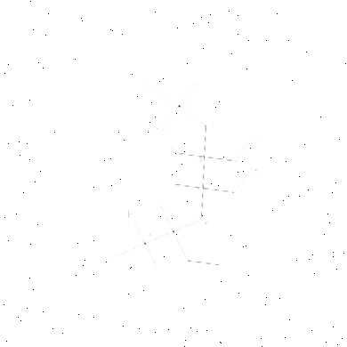 CCC(C)(CC(C)(CC)C(C)(CC)CC(C)(C)S)C(F)(F)F